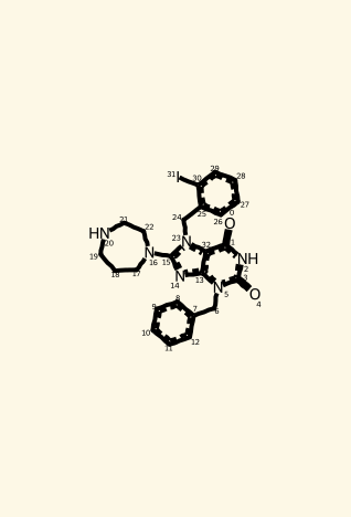 O=c1[nH]c(=O)n(Cc2ccccc2)c2nc(N3CCCNCC3)n(Cc3ccccc3I)c12